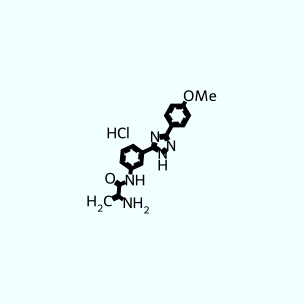 C=C(N)C(=O)Nc1cccc(-c2nc(-c3ccc(OC)cc3)n[nH]2)c1.Cl